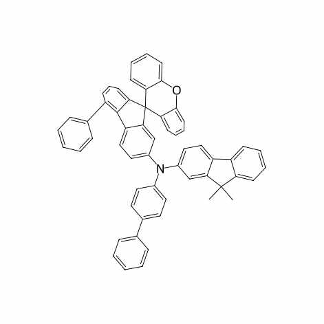 CC1(C)c2ccccc2-c2ccc(N(c3ccc(-c4ccccc4)cc3)c3ccc4c(c3)C3(c5ccccc5Oc5ccccc53)c3cccc(-c5ccccc5)c3-4)cc21